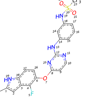 Cc1cc2c(F)c(Oc3ccnc(Nc4cccc(NS(=O)(=O)C(F)(F)F)c4)n3)ccc2[nH]1